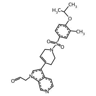 Cc1cc(S(=O)(=O)N2CC=C(c3cn(CC=O)c4cnccc34)CC2)ccc1OC(C)C